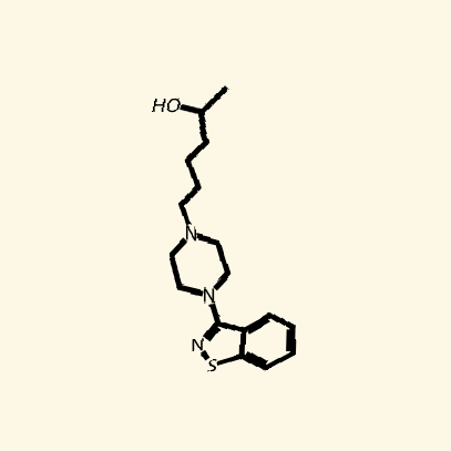 CC(O)CCCCN1CCN(c2nsc3ccccc23)CC1